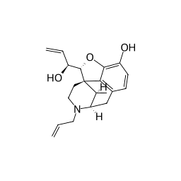 C=CCN1CC[C@]23c4c(ccc(O)c4O[C@H]2[C@@H](O)C=C)C[C@@H]1[C@@H]3C